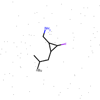 CCCCC(C)CC1C(I)C1CN